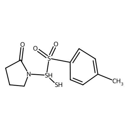 Cc1ccc(S(=O)(=O)[SH](S)N2CCCC2=O)cc1